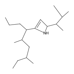 CCCC(C1=CC(C(C)C(C)C)N1)C(C)CC(C)CC